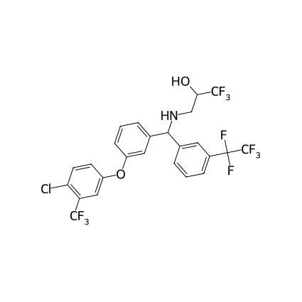 OC(CNC(c1cccc(Oc2ccc(Cl)c(C(F)(F)F)c2)c1)c1cccc(C(F)(F)C(F)(F)F)c1)C(F)(F)F